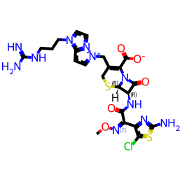 CO/N=C(\C(=O)N[C@@H]1C(=O)N2C(C(=O)[O-])=C(C[n+]3ccc4n(CCCNC(=N)N)ccn43)CS[C@H]12)c1nc(N)sc1Cl